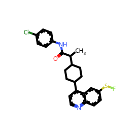 CC(C(=O)Nc1ccc(Cl)cc1)C1CCC(c2ccnc3ccc(SF)cc23)CC1